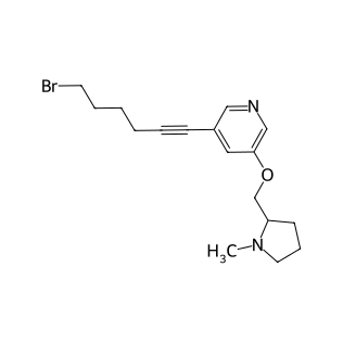 CN1CCCC1COc1cncc(C#CCCCCBr)c1